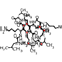 CC(C)C[C@H](NC(=O)[C@H](CCCCN)NC(=O)[C@H](CC(C)C)NC(=O)[C@H](CCCCN)NC(=O)[C@H](CC(C)C)NC(=O)[C@H](CC(C)C)NC(=O)[C@H](CCCCN)NC(=O)[C@H](CCCCN)NC(=O)[C@@H](N)CC(C)C)C(=O)O